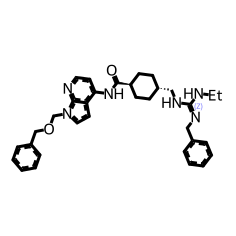 CCN/C(=N/Cc1ccccc1)NC[C@H]1CC[C@H](C(=O)Nc2ccnc3c2ccn3COCc2ccccc2)CC1